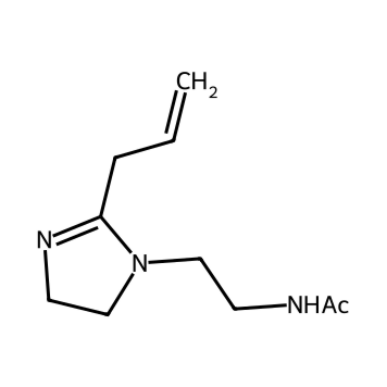 C=CCC1=NCCN1CCNC(C)=O